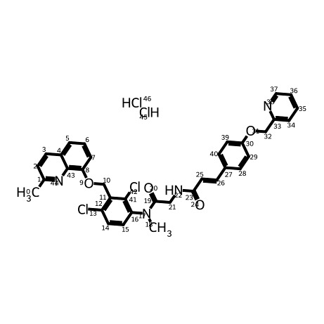 Cc1ccc2cccc(OCc3c(Cl)ccc(N(C)C(=O)CNC(=O)/C=C/c4ccc(OCc5ccccn5)cc4)c3Cl)c2n1.Cl.Cl